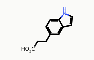 O=C(O)CCc1ccc2[nH]ccc2c1